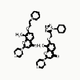 Cc1c(OCCN2CCCCC2)ccc2c(=O)cc(N3CCOCC3)oc12.Cc1c(OCc2nnnn2C2CCCCC2)ccc2c(=O)cc(N3CCOCC3)oc12